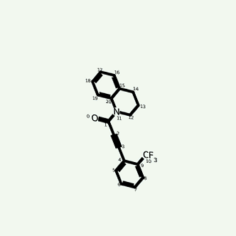 O=C(C#Cc1ccccc1C(F)(F)F)N1CCCc2ccccc21